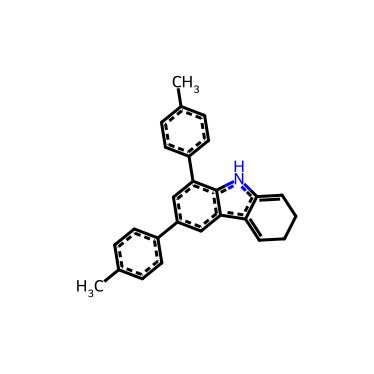 Cc1ccc(-c2cc(-c3ccc(C)cc3)c3[nH]c4c(c3c2)=CCCC=4)cc1